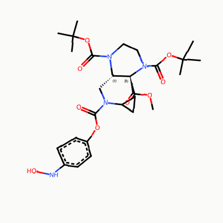 COC(=O)[C@H]1[C@H](CN(C(=O)Oc2ccc(NO)cc2)C2CC2)N(C(=O)OC(C)(C)C)CCN1C(=O)OC(C)(C)C